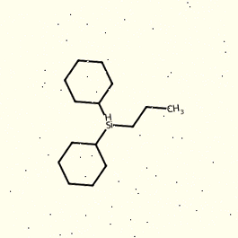 CCC[SiH](C1CCCCC1)C1CCCCC1